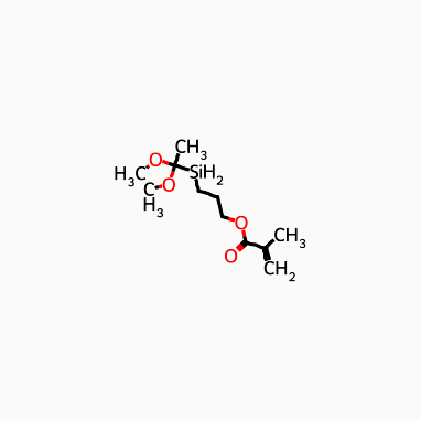 C=C(C)C(=O)OCCC[SiH2]C(C)(OC)OC